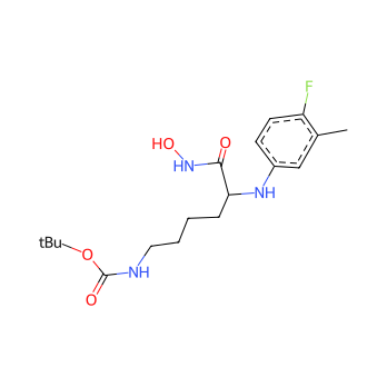 Cc1cc(NC(CCCCNC(=O)OC(C)(C)C)C(=O)NO)ccc1F